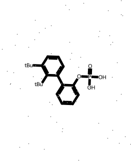 CC(C)(C)c1cccc(-c2ccccc2OP(=O)(O)O)c1C(C)(C)C